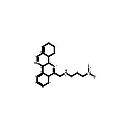 CCN(CC)CCCNCC1=NC2C3CCCC=C3C=NC2C2=CC=CCC21